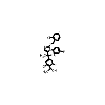 CC(O)c1c(Cl)cc(C(C)(C)c2cnc(SCc3ccc(F)cc3Cl)n2-c2ccc(F)cc2)cc1Cl